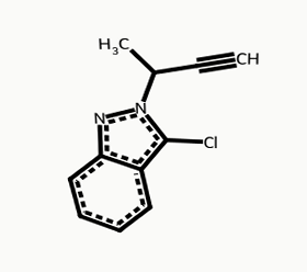 C#CC(C)n1nc2ccccc2c1Cl